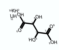 O=C(O)C(O)C(O)C(=O)O.[KH].[LiH]